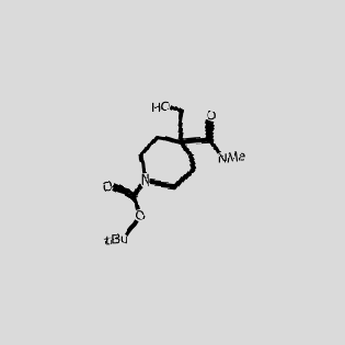 CNC(=O)C1(CO)CCN(C(=O)OC(C)(C)C)CC1